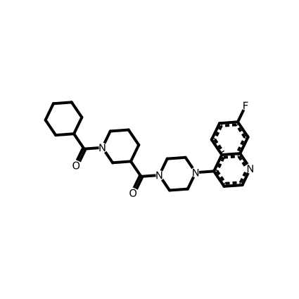 O=C(C1CCCN(C(=O)C2CCCCC2)C1)N1CCN(c2ccnc3cc(F)ccc23)CC1